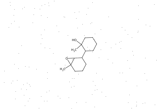 CC1(O)CCCCC1C1CCCC2(C)OC12